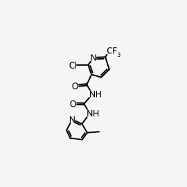 Cc1cccnc1NC(=O)NC(=O)c1ccc(C(F)(F)F)nc1Cl